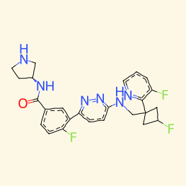 O=C(N[C@H]1CCNC1)c1ccc(F)c(-c2ccc(NCC3(c4ncccc4F)CC(F)C3)nn2)c1